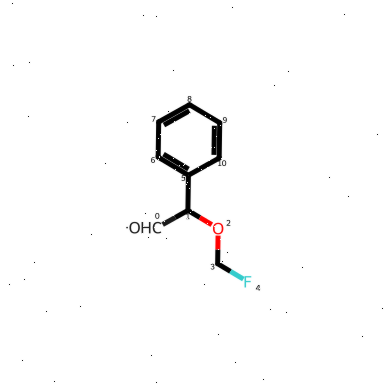 O=[C]C(OCF)c1ccccc1